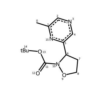 Cc1cncc(C2CCON2C(=O)OC(C)(C)C)n1